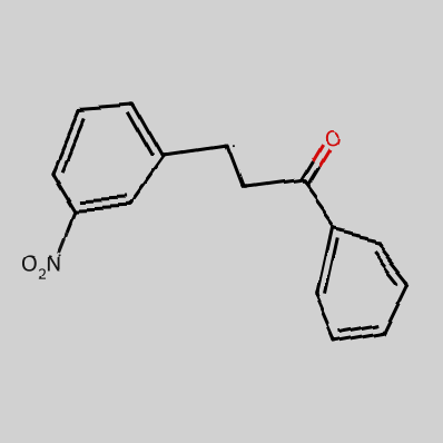 O=C(C[CH]c1cccc([N+](=O)[O-])c1)c1ccccc1